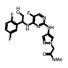 CNC(=O)Cn1cc(Nc2ncc(F)c(NC(CO)c3cc(F)ccc3F)n2)cn1